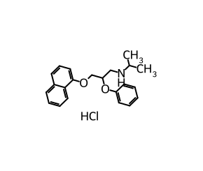 CC(C)NCC(COc1cccc2ccccc12)Oc1ccccc1.Cl